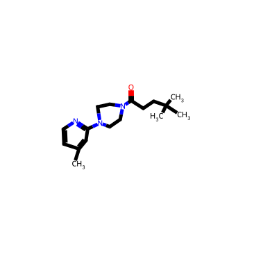 Cc1ccnc(N2CCN(C(=O)CCC(C)(C)C)CC2)c1